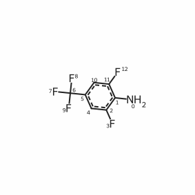 Nc1c(F)cc(C(F)(F)F)cc1F